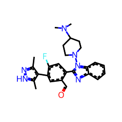 Cc1n[nH]c(C)c1-c1cc(C=O)c(-c2nc3ccccc3n2N2CCC(N(C)C)CC2)cc1F